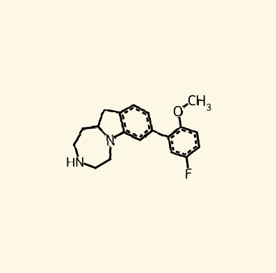 COc1ccc(F)cc1-c1ccc2c(c1)N1CCNCCC1C2